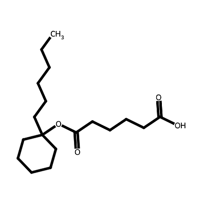 CCCCCCC1(OC(=O)CCCCC(=O)O)CCCCC1